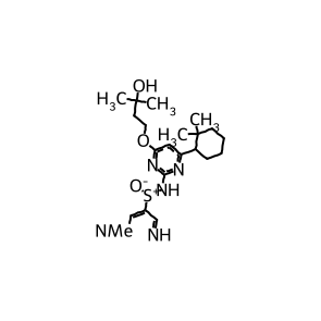 CN/C=C(\C=N)[S+]([O-])Nc1nc(OCCC(C)(C)O)cc(C2CCCCC2(C)C)n1